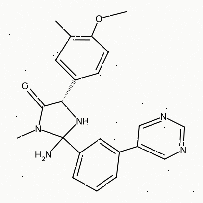 COc1ccc([C@@H]2NC(N)(c3cccc(-c4cncnc4)c3)N(C)C2=O)cc1C